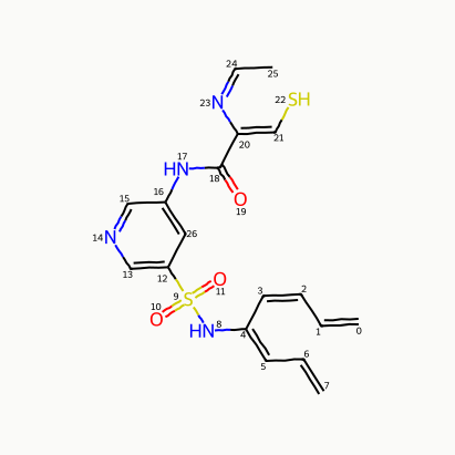 C=C/C=C\C(=C/C=C)NS(=O)(=O)c1cncc(NC(=O)C(=C/S)/N=C\C)c1